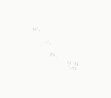 c1cc(-n2cnnn2)ccc1NCc1csc(C2CCNCC2)n1